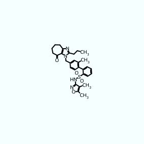 CCCc1nc2c(n1Cc1ccc(-c3ccccc3S(=O)(=O)Nc3noc(C)c3C)c(C)c1)C(=O)CCCC2